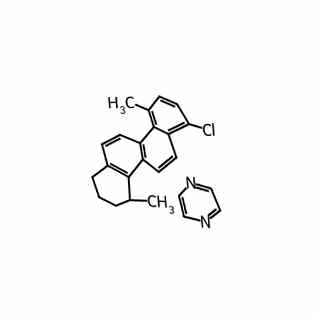 Cc1ccc(Cl)c2ccc3c4c(ccc3c12)CCCC4C.c1cnccn1